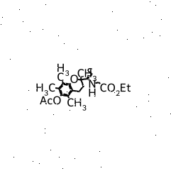 CCOC(=O)CNC(=S)C1(C)CCc2c(C)c(OC(C)=O)c(C)c(C)c2O1